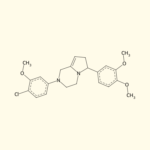 COc1cc(N2CCN3C(=CCC3c3ccc(OC)c(OC)c3)C2)ccc1Cl